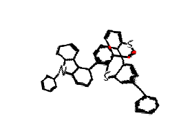 C1=CCC(N2C3CCC=CC3C3C(c4cccc5c4SC4C=C(c6ccccc6)C=CC4C54c5ccccc5SC5=CC=CCC54)CCCC32)C=C1